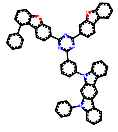 c1ccc(-c2cccc3oc4cc(-c5nc(-c6cccc(-n7c8ccccc8c8cc9c%10ccccc%10n(-c%10ccccc%10)c9cc87)c6)nc(-c6ccc7c(c6)oc6ccccc67)n5)ccc4c23)cc1